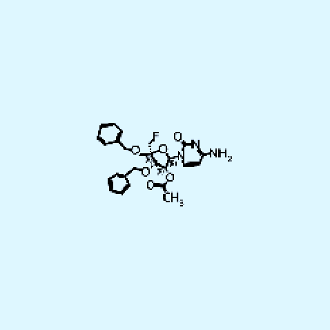 CC(=O)O[C@H]1[C@H](n2ccc(N)nc2=O)O[C@](CF)(COCc2ccccc2)[C@H]1OCc1ccccc1